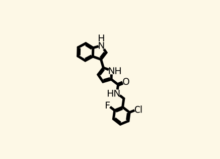 O=C(NCc1c(F)cccc1Cl)c1ccc(-c2c[nH]c3ccccc23)[nH]1